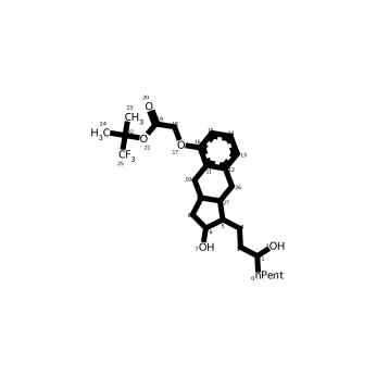 CCCCCC(O)CCC1C(O)CC2Cc3c(cccc3OCC(=O)OC(C)(C)C(F)(F)F)CC21